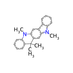 CN1c2ccccc2C(C)(C)c2cc3c(cc21)c1ccccc1n3C